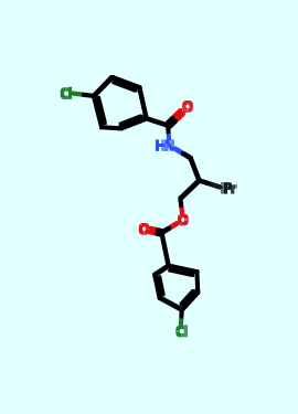 CC(C)C(CNC(=O)c1ccc(Cl)cc1)COC(=O)c1ccc(Cl)cc1